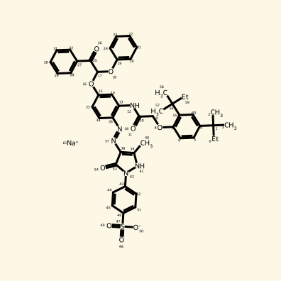 CCC(C)(C)c1ccc(OCC(=O)Nc2cc(OC(Oc3ccccc3)C(=O)c3ccccc3)ccc2N=Nc2c(C)[nH]n(-c3ccc(S(=O)(=O)[O-])cc3)c2=O)c(C(C)(C)CC)c1.[Na+]